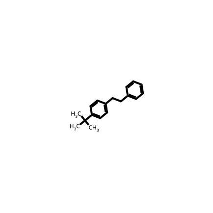 CC(C)(C)c1ccc(CCc2ccccc2)cc1